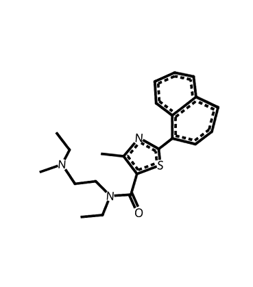 CCN(C)CCN(CC)C(=O)c1sc(-c2cccc3ccccc23)nc1C